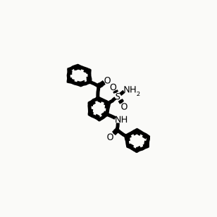 NS(=O)(=O)c1c(NC(=O)c2ccccc2)cccc1C(=O)c1ccccc1